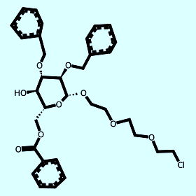 O=C(OC[C@H]1O[C@@H](OCCOCCOCCCl)[C@H](OCc2ccccc2)[C@@H](OCc2ccccc2)[C@@H]1O)c1ccccc1